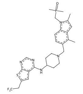 Cc1c(CN2CCC(Nc3ncnc4sc(CC(F)(F)F)cc34)CC2)ccc2c1cc(C)n2CP(C)(C)=O